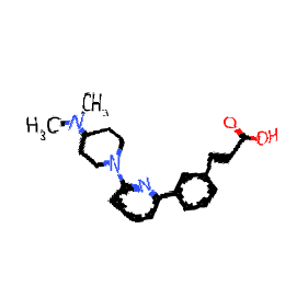 CN(C)C1CCN(c2cccc(-c3cccc(C=CC(=O)O)c3)n2)CC1